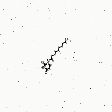 CCCCCCCCCC(F)On1ccc(=O)[nH]c1=O